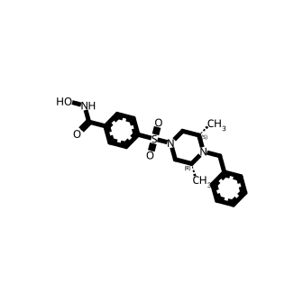 C[C@@H]1CN(S(=O)(=O)c2ccc(C(=O)NO)cc2)C[C@H](C)N1Cc1ccccc1